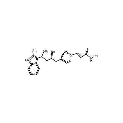 Cc1[nH]c2ccccc2c1C(C)CC(=N)Cc1ccc(/C=C/C(=O)NO)cc1